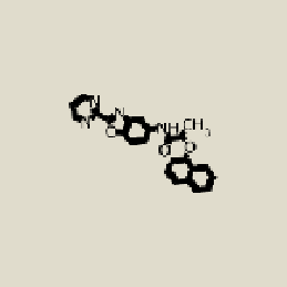 CC(Oc1cccc2ccccc12)C(=O)Nc1ccc2oc(-c3ncccn3)nc2c1